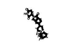 CCC1(N2CCC(c3ccc4c(c3)CN(C3CCC(=O)NC3=O)C4=O)CC2)C=CC=CC1(F)F